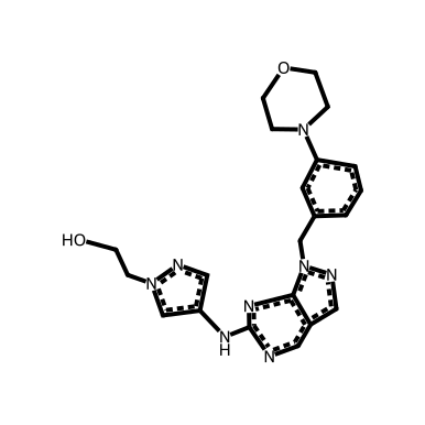 OCCn1cc(Nc2ncc3cnn(Cc4cccc(N5CCOCC5)c4)c3n2)cn1